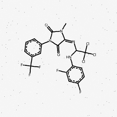 CN1C(=O)N(c2cccc(C(F)(F)F)c2)C(=O)C1=NC(Nc1ccc(F)cc1F)C(Cl)(Cl)Cl